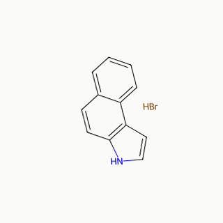 Br.c1ccc2c(c1)ccc1[nH]ccc12